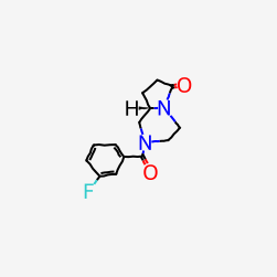 O=C(c1cccc(F)c1)N1CCN2C(=O)CC[C@H]2C1